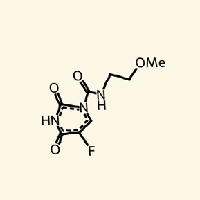 COCCNC(=O)n1cc(F)c(=O)[nH]c1=O